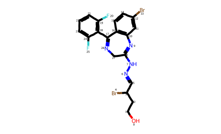 OCCC(Br)C=NNC1=Nc2cc(Br)ccc2C(c2c(F)cccc2F)=NC1